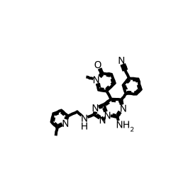 Cc1cccc(CNc2nc3c(-c4ccc(=O)n(C)c4)c(-c4cccc(C#N)c4)nc(N)n3n2)n1